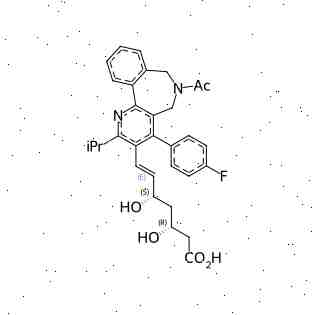 CC(=O)N1Cc2ccccc2-c2nc(C(C)C)c(/C=C/[C@@H](O)C[C@@H](O)CC(=O)O)c(-c3ccc(F)cc3)c2C1